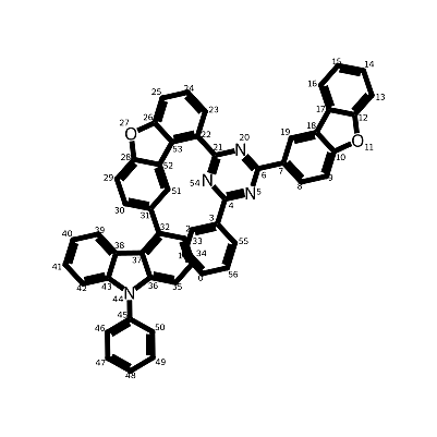 c1ccc(-c2nc(-c3ccc4oc5ccccc5c4c3)nc(-c3cccc4oc5ccc(-c6cccc7c6c6ccccc6n7-c6ccccc6)cc5c34)n2)cc1